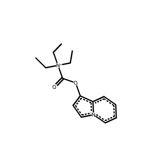 CC[N+](CC)(CC)C(=O)Oc1ccn2ccccc12